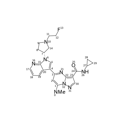 CNc1cc(-c2cn([C@@H]3CCN(CCF)C3)c3ncccc23)nc2c(C(=O)NC3CC3)cnn12